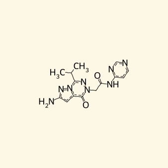 CC(C)c1nn(CC(=O)Nc2ccncn2)c(=O)c2cc(N)nn12